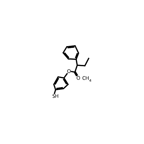 C.CCC(C(=O)Oc1ccc(S)cc1)c1ccccc1